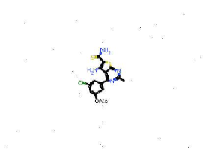 COc1cc(Cl)cc(-c2nc(C)nc3sc(C(N)=S)c(N)c23)c1